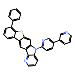 c1ccc(-c2cccc3c2sc2cc4c(cc23)c2ncccc2n4-c2ccc(-c3cccnc3)cn2)cc1